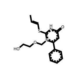 CC=CSc1[nH]c(=O)cc(-c2ccccc2)[n+]1COCCO